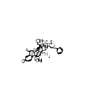 CCOC(=O)C1[C@@H]2C[C@H]3[C@@H]4C[C@H](F)C5=CC(=O)C=C[C@]5(C)[C@@]4(F)[C@@H](O)C[C@]3(C)[C@]2(C(=O)CCO)CN1CCSc1ccccc1